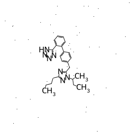 CCCCc1nc(Cc2ccc(-c3ccccc3-c3nnn[nH]3)cc2)n(C(C)CC)n1